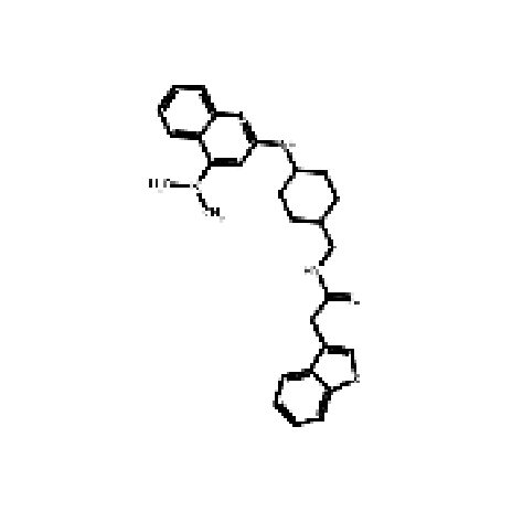 CN(C)c1cc(NC2CCC(CNC(=O)Cc3csc4ccccc34)CC2)nc2ccccc12